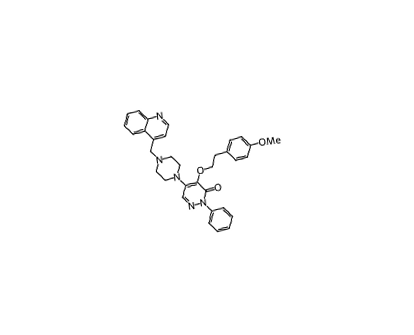 COc1ccc(CCOc2c(N3CCN(Cc4ccnc5ccccc45)CC3)cnn(-c3ccccc3)c2=O)cc1